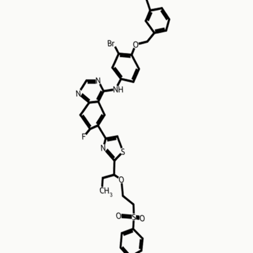 CCC(OCCS(=O)(=O)c1ccccc1)c1nc(-c2cc3c(Nc4ccc(OCc5cccc(F)c5)c(Br)c4)ncnc3cc2F)cs1